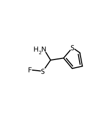 NC(SF)c1cccs1